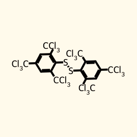 ClC(Cl)(Cl)c1cc(C(Cl)(Cl)Cl)c(SSc2c(C(Cl)(Cl)Cl)cc(C(Cl)(Cl)Cl)cc2C(Cl)(Cl)Cl)c(C(Cl)(Cl)Cl)c1